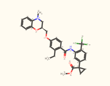 CCc1cc(OC[C@@H]2CN(C)c3ccccc3O2)ccc1C(=O)Nc1cc(C2(C(=O)OC)CC2)ccc1C(F)(F)F